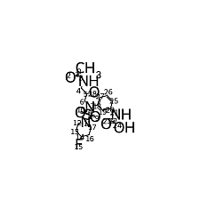 CC(=O)NCC1CN(S(=O)(=O)N2CCC(F)CC2)c2cc(NC(=O)O)ccc2O1